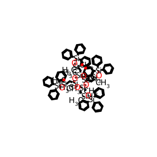 C[SiH](C[Si]1(C)O[Si](C)(C[Si](C)(C)O[Si](c2ccccc2)(c2ccccc2)c2ccccc2)O[Si](C)(C[Si](C)(C)O[Si](c2ccccc2)(c2ccccc2)c2ccccc2)O[Si](C)(C[Si](C)(C)O[Si](c2ccccc2)(c2ccccc2)c2ccccc2)O1)O[Si](c1ccccc1)(c1ccccc1)c1ccccc1